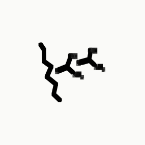 CCCCCCCC.NC(O)=S.NC(O)=S